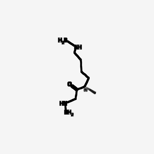 BNCCCC[C@H](C)C(=O)CNB